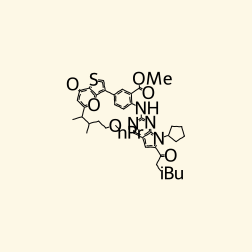 CCCOCCC(C)C(C)c1cc(=O)c2scc(-c3ccc(Nc4ncc5cc(C(=O)CC(C)CC)n(C6CCCC6)c5n4)c(C(=O)OC)c3)c2o1